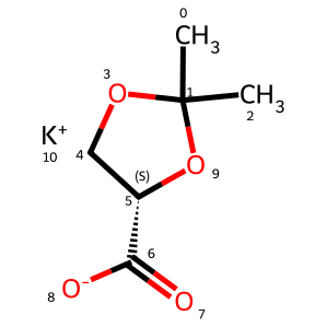 CC1(C)OC[C@@H](C(=O)[O-])O1.[K+]